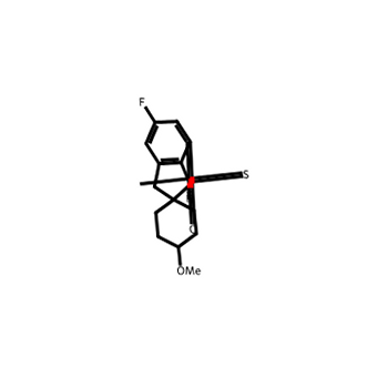 COC1CCC2(CC1)Cc1cc(F)ccc1C21NC(=S)NC1=O